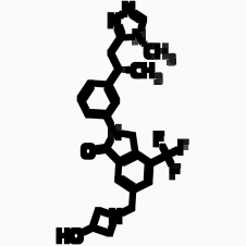 C[C@H](Cc1nncn1C)c1cccc(N2Cc3c(cc(CN4CC(O)C4)cc3C(F)(F)F)C2=O)c1